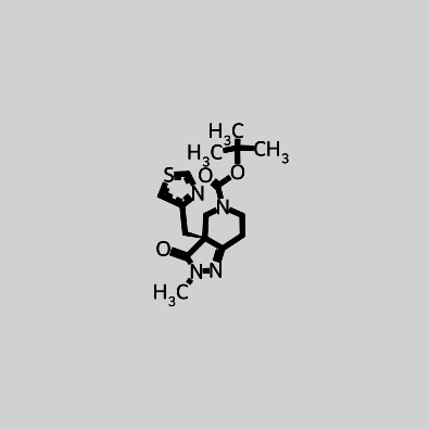 CN1N=C2CCN(C(=O)OC(C)(C)C)C[C@@]2(Cc2cscn2)C1=O